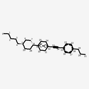 CCCCC[C@H]1CC[C@H](C23CCC(C#Cc4ccc(CCC)cc4)(CC2)CC3)CC1